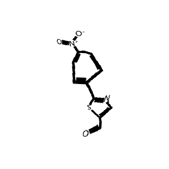 O=Cc1cnc(-c2ccc([N+](=O)[O-])cc2)s1